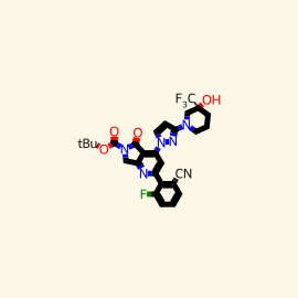 CC(C)(C)OC(=O)N1Cc2nc(-c3c(F)cccc3C#N)cc(-n3ccc(N4CCC[C@@](O)(C(F)(F)F)C4)n3)c2C1=O